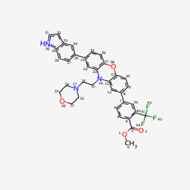 COC(=O)c1ccc(-c2ccc3c(c2)N(CCN2CCOCC2)c2cc(-c4ccc5[nH]ccc5c4)ccc2O3)cc1C(F)(F)F